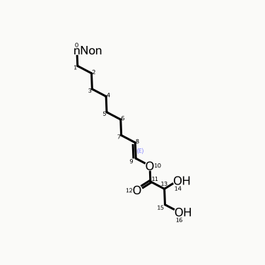 CCCCCCCCCCCCCCCC/C=C/OC(=O)C(O)CO